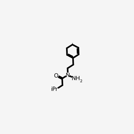 CC(C)CC(=O)N(N)CCC1=CC[CH]C=C1